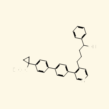 CCOC(=O)C1(c2ccc(-c3ccc(-c4cnccc4CCCC(O)c4ccccc4)cc3)cc2)CC1